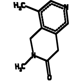 Cc1cncc2c1CN(C)C(=O)C2